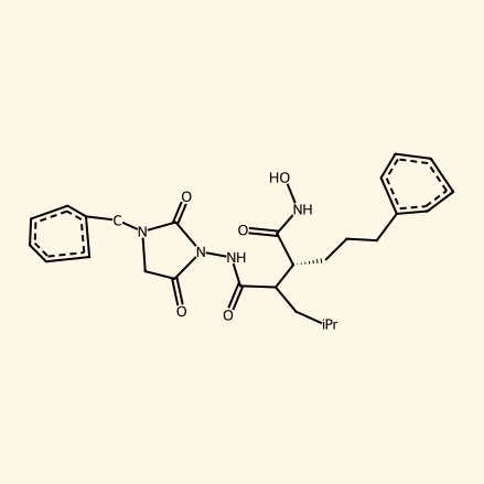 CC(C)CC(C(=O)NN1C(=O)CN(Cc2ccccc2)C1=O)[C@@H](CCCc1ccccc1)C(=O)NO